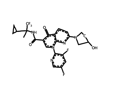 CC(NC(=O)c1cn(-c2ncc(F)cc2F)c2nc(N3CCC(O)C3)ccc2c1=O)(C1CC1)C(F)(F)F